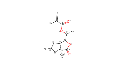 C=C(C)C(=O)OC(C)C1OC(=O)C2(C#N)CC(C)CC12